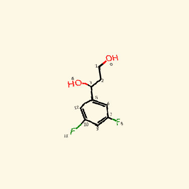 OCCC(O)c1cc(F)cc(F)c1